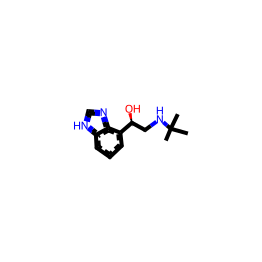 CC(C)(C)NC[C@H](O)c1cccc2[nH]cnc12